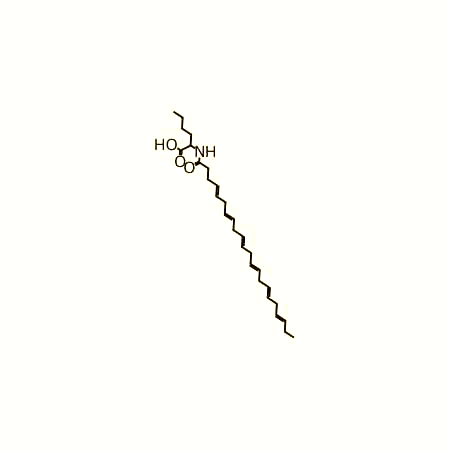 CCC=CCC=CCC=CCC=CCC=CCC=CCCC(=O)NC(CCCC)C(=O)O